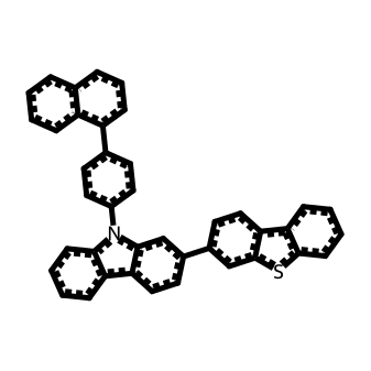 c1ccc2c(-c3ccc(-n4c5ccccc5c5ccc(-c6ccc7c(c6)sc6ccccc67)cc54)cc3)cccc2c1